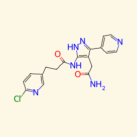 NC(=O)Cc1c(-c2ccncc2)n[nH]c1NC(=O)CCc1ccc(Cl)nc1